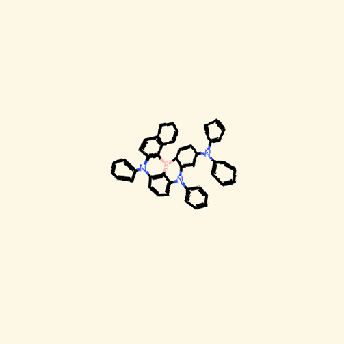 C1=Cc2c(ccc3c2B2c4c(cccc4N(c4ccccc4)C4CC(N(c5ccccc5)c5ccccc5)C=CC24)N3c2ccccc2)CC1